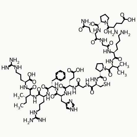 CC[C@H](C)[C@H](NC(=O)[C@H](CCCNC(=N)N)NC(=O)[C@H](Cc1ccccc1)NC(=O)[C@H](Cc1c[nH]cn1)NC(=O)[C@H](CCC(=O)O)NC(=O)CNC(=O)[C@H](CS)NC(=O)[C@@H]1CCCN1C(=O)[C@@H](NC(=O)[C@H](CCCCN)NC(=O)CNC(=O)[C@H](CCC(N)=O)NC(=O)[C@@H]1CCCN1C(=O)[C@@H](N)CCC(=O)O)C(C)C)C(=O)N[C@@H](CCCNC(=N)N)C(=O)O